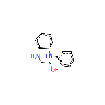 NCCO.c1ccc(Nc2ccccc2)cc1